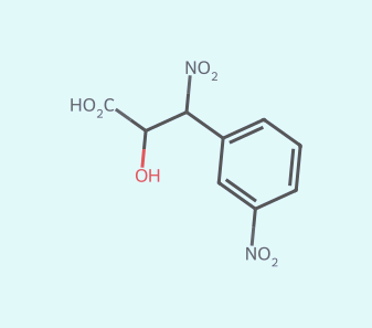 O=C(O)C(O)C(c1cccc([N+](=O)[O-])c1)[N+](=O)[O-]